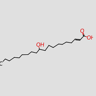 CCCCCCCCCC(O)CCCCCCCC=CC(=O)O